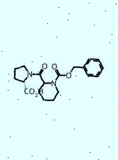 O=C(O)[C@@H]1CCCN1C(=O)C1CCCCN1C(=O)OCc1ccccc1